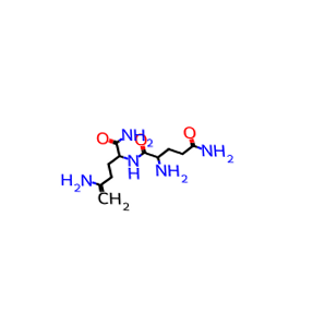 C=C(N)CCC(NC(=O)C(N)CCC(N)=O)C(N)=O